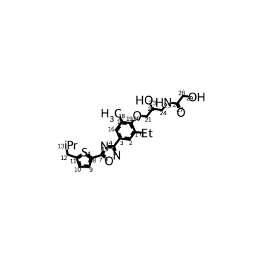 CCc1cc(-c2noc(-c3ccc(CC(C)C)s3)n2)cc(C)c1OC[C@@H](O)CNC(=O)CO